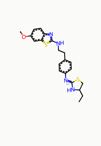 CCC1CS/C(=N\c2ccc(CCNc3nc4ccc(OC)cc4s3)cc2)N1